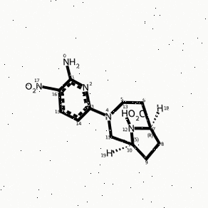 Nc1nc(N2CC[C@H]3CC[C@@H](C2)N3C(=O)O)ccc1[N+](=O)[O-]